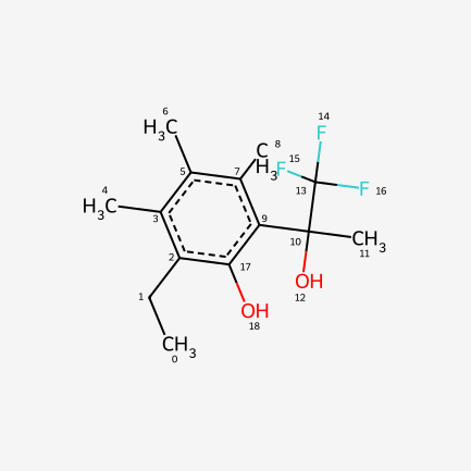 CCc1c(C)c(C)c(C)c(C(C)(O)C(F)(F)F)c1O